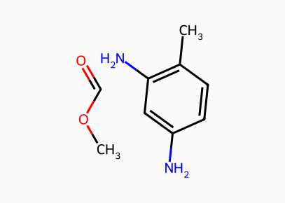 COC=O.Cc1ccc(N)cc1N